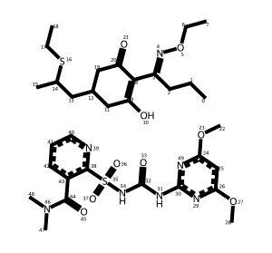 CCCC(=NOCC)C1=C(O)CC(CC(C)SCC)CC1=O.COc1cc(OC)nc(NC(=O)NS(=O)(=O)c2ncccc2C(=O)N(C)C)n1